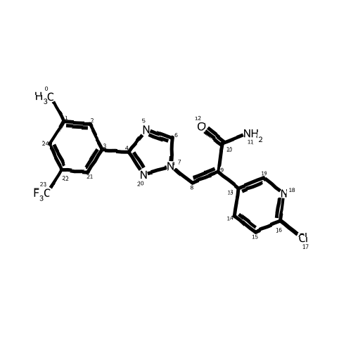 Cc1cc(-c2ncn(/C=C(\C(N)=O)c3ccc(Cl)nc3)n2)cc(C(F)(F)F)c1